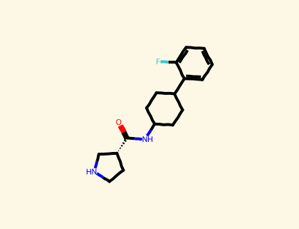 O=C(NC1CCC(c2ccccc2F)CC1)[C@@H]1CCNC1